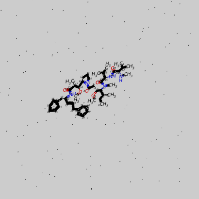 CC[C@H](C)[C@@H]([C@@H](CC(=O)N1CCC[C@H]1[C@H](OC)[C@@H](C)C(=O)N[C@H](C=CCc1ccccc1)Cc1ccccc1)OC)N(C)C(=O)[C@@H](NC(=O)[C@@H](NC)C(C)C)C(C)C